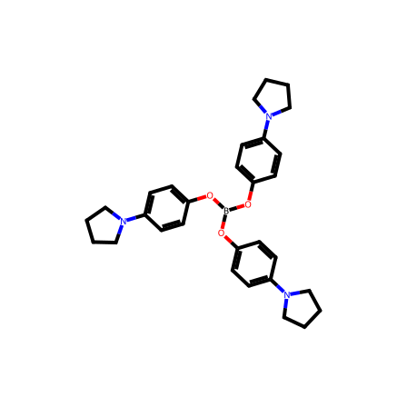 c1cc(N2CCCC2)ccc1OB(Oc1ccc(N2CCCC2)cc1)Oc1ccc(N2CCCC2)cc1